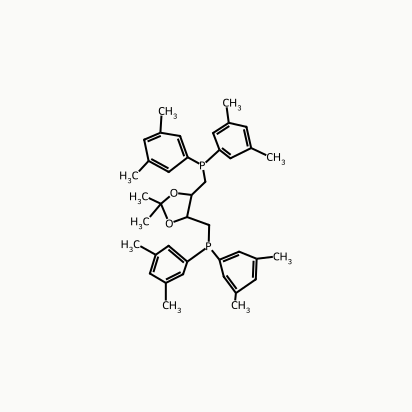 Cc1cc(C)cc(P(CC2OC(C)(C)OC2CP(c2cc(C)cc(C)c2)c2cc(C)cc(C)c2)c2cc(C)cc(C)c2)c1